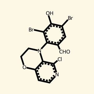 O=Cc1cc(Br)c(O)c(Br)c1N1CCOc2ccnc(Cl)c21